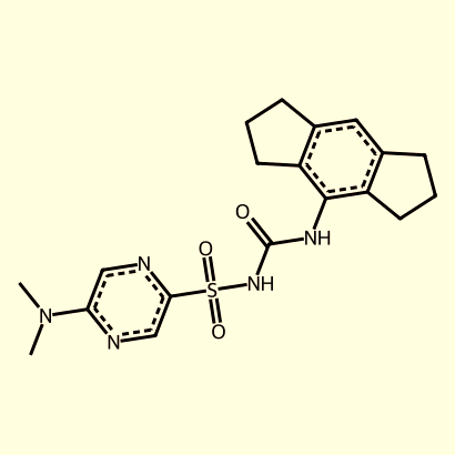 CN(C)c1cnc(S(=O)(=O)NC(=O)Nc2c3c(cc4c2CCC4)CCC3)cn1